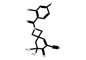 CC1(C)CC2(C=C(C#N)C1=O)CN(C(=O)c1ccc(F)cc1Cl)C2